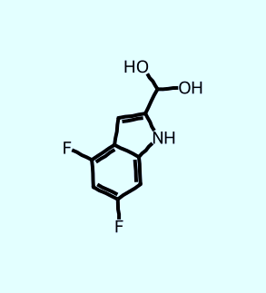 OC(O)c1cc2c(F)cc(F)cc2[nH]1